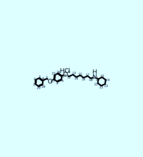 Cl.c1ccc(COc2ccc(OCCCCCCCNC3CCCCC3)cc2)cc1